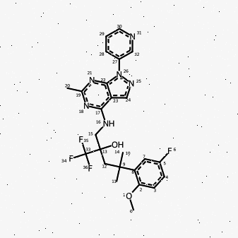 COc1ccc(F)cc1C(C)(C)CC(O)(CNc1nc(C)nc2c1cnn2-c1cccnc1)C(F)(F)F